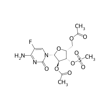 CC(=O)OC[C@H]1O[C@@H](n2cc(F)c(N)nc2=O)[C@H](OC(C)=O)[C@H]1OS(C)(=O)=O